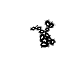 c1cc(-c2ccc3sc4ccccc4c3c2)cc(N(c2ccc(-c3cccc4ccccc34)cc2)c2ccc3c(c2)C2(c4ccccc4-c4ccccc42)c2ccccc2-3)c1